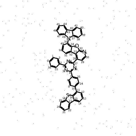 c1ccc(-c2nc(-c3ccc(-c4cccc5c4sc4ccccc45)cc3)nc(-c3ccnc4oc5c(-n6c7ccccc7c7ccccc76)cccc5c34)n2)cc1